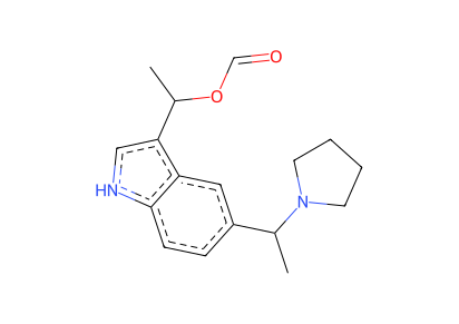 CC(OC=O)c1c[nH]c2ccc(C(C)N3CCCC3)cc12